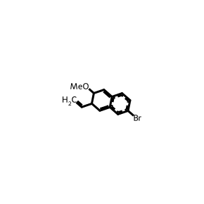 C=CC1C=c2cc(Br)ccc2=CC1OC